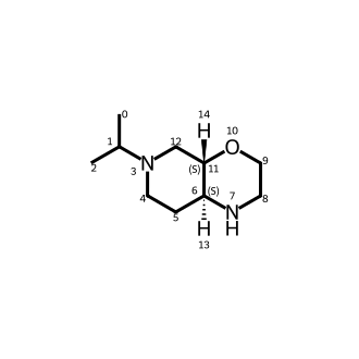 CC(C)N1CC[C@@H]2NCCO[C@H]2C1